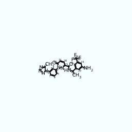 Cc1nnnn1-c1cccc(-n2nc(C(=O)N[C@H](C)c3cc(N)cc(C(F)(F)F)c3)ccc2=O)c1